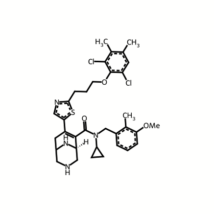 COc1cccc(CN(C(=O)C2=C(c3cnc(CCCOc4c(Cl)cc(C)c(C)c4Cl)s3)CC3CNC[C@H]2N3)C2CC2)c1C